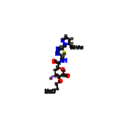 COCCOc1c(I)cc(C(=O)Nc2nnc(-n3nccc3NC(C)=O)s2)oc1=O